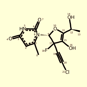 Cc1cc(=O)[nH]c(=O)n1[C@@H]1OC([C@H](C)O)=C(O)C1(F)C#CCl